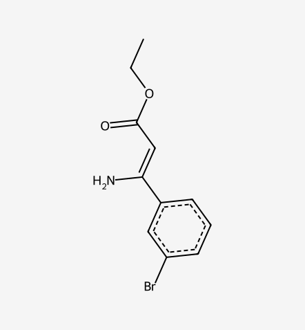 CCOC(=O)C=C(N)c1cccc(Br)c1